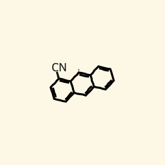 N#Cc1cccc2cc3ccccc3[c]c12